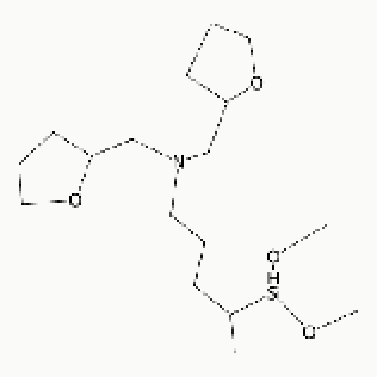 CO[SiH](OC)C(C)CCCN(CC1CCCO1)CC1CCCO1